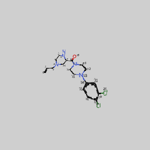 C=CCN1CCN[C@@H](C(=O)N2CCN(c3ccc(Cl)c(Cl)c3)CC2)C1